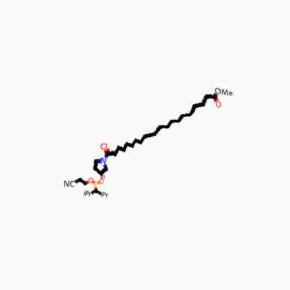 COC(=O)CCCCCCCCCCCCCCCCCCC(=O)N1CC[C@H](OP(OCCC#N)C(C(C)C)C(C)C)C1